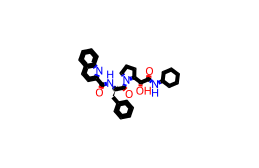 O=C(N[C@@H](Cc1ccccc1)C(=O)N1CCCC1C(O)C(=O)NC1CCCCC1)c1ccc2ccccc2n1